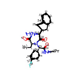 CC(C)CC1C(=O)NC(C2Cc3ccccc3C2)C(=O)N1[C@@H](C(=O)NC(C)C)c1ccc(F)cc1